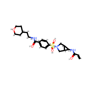 C=CC(=O)NC1C2CN(S(=O)(=O)c3ccc(C(=O)NCCC4CCOCC4)cc3)CC21